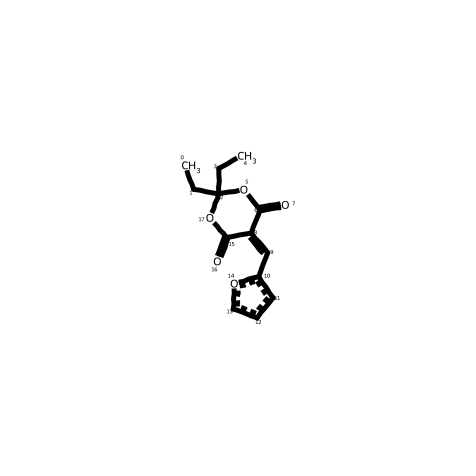 CCC1(CC)OC(=O)C(=Cc2ccco2)C(=O)O1